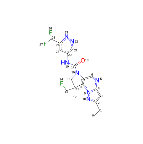 CCc1cc2ncc3c(n2n1)C(C)(CF)CN3C(=O)Nc1cnnc(C(F)F)c1